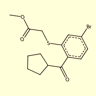 COC(=O)CSc1cc(Br)ccc1C(=O)C1CCCC1